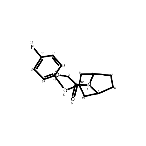 O=C(CO)N1C2CCC1CC(Oc1ccc(F)cc1)C2